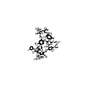 CCN(CC)c1cc(Nc2nc(Nc3cc(N(CC)CC)c(OC)cc3/N=N/c3sc(/C=C(\C(C)=O)C(=O)Nc4cccc(F)c4)c(S(=O)(=O)O)c3C#N)nc(SCCO)n2)c(/N=N/c2sc(/C=C(/C(C)=O)C(=O)Nc3cccc(F)c3)c(S(=O)(=O)O)c2C#N)cc1OC